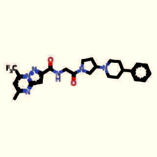 Cc1cc(C(F)(F)F)n2nc(C(=O)NCC(=O)N3CCC(N4CCC(c5ccccc5)CC4)C3)cc2n1